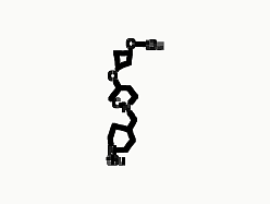 CC(C)(C)O[C@H]1C[C@H](OC2CCN(CC3CCN(C(C)(C)C)CC3)CC2)C1